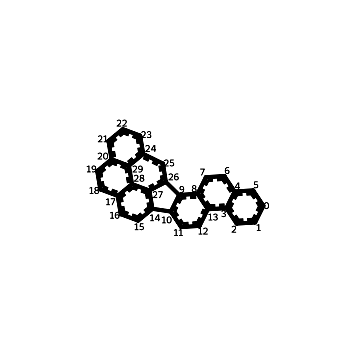 c1ccc2c(c1)ccc1c3c(ccc12)-c1ccc2ccc4cccc5cc-3c1c2c45